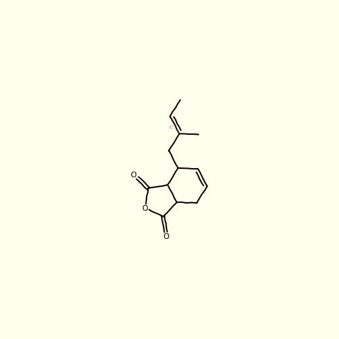 C/C=C(\C)CC1C=CCC2C(=O)OC(=O)C12